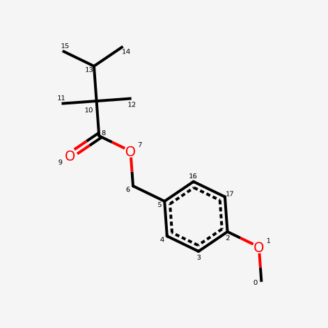 COc1ccc(COC(=O)C(C)(C)C(C)C)cc1